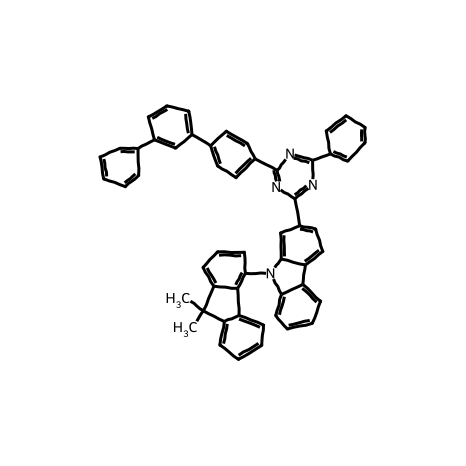 CC1(C)c2ccccc2-c2c(-n3c4ccccc4c4ccc(-c5nc(-c6ccccc6)nc(-c6ccc(-c7cccc(-c8ccccc8)c7)cc6)n5)cc43)cccc21